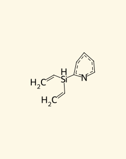 C=C[SiH](C=C)c1ccccn1